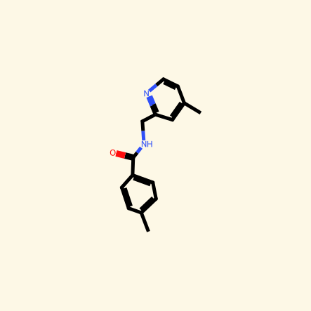 Cc1ccc(C(=O)NCc2cc(C)ccn2)cc1